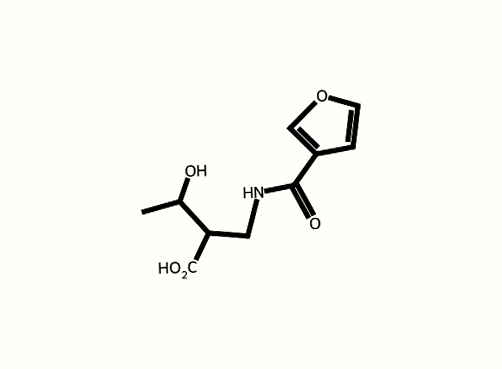 CC(O)C(CNC(=O)c1ccoc1)C(=O)O